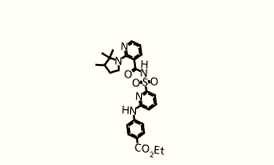 CCOC(=O)c1ccc(Nc2cccc(S(=O)(=O)NC(=O)c3cccnc3N3CCC(C)C3(C)C)n2)cc1